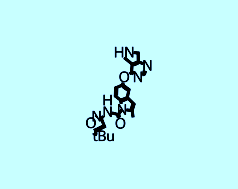 Cc1cc2cc(Oc3ncnc4c3CNC4)ccc2n1C(=O)Nc1cc(C(C)(C)C)on1